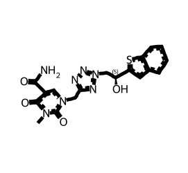 Cn1c(=O)c(C(N)=O)cn(Cc2nnn(C[C@H](O)c3cc4ccccc4s3)n2)c1=O